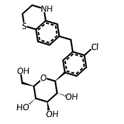 OC[C@H]1O[C@@H](c2ccc(Cl)c(Cc3ccc4c(c3)NCCS4)c2)[C@H](O)[C@@H](O)[C@@H]1O